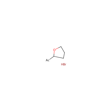 Br.CC(=O)C1CCCO1